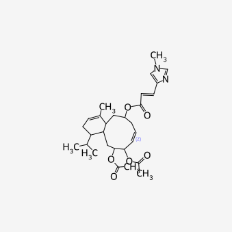 CC(=O)OC1/C=C\CC(OC(=O)C=Cc2cn(C)cn2)CC2C(C)=CCC(C(C)C)C2CC1OC(C)=O